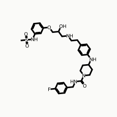 CS(=O)(=O)Nc1cccc(OCC(O)CNCCc2ccc(NC3CCN(C(=O)NCc4ccc(F)cc4)CC3)cc2)c1